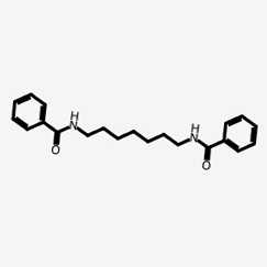 O=C(NCCCCCCCNC(=O)c1ccccc1)c1ccccc1